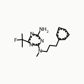 CN(CCCc1ccccc1)c1nc(N)nc(C(C)(C)F)n1